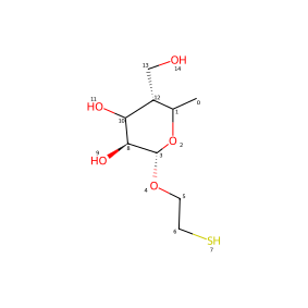 CC1O[C@H](OCCS)[C@@H](O)C(O)[C@@H]1CO